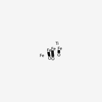 [Fe].[O]=[Fe].[O]=[Fe].[O]=[Fe].[Ti]